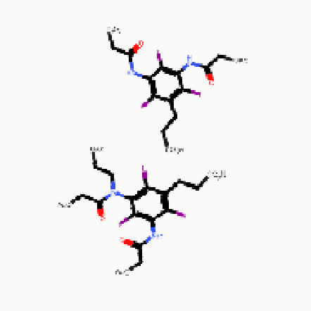 CC(=O)OCC(=O)Nc1c(I)c(CCC(=O)O)c(I)c(NC(=O)COC(C)=O)c1I.CC(=O)OCCN(C(=O)COC(C)=O)c1c(I)c(CCC(=O)O)c(I)c(NC(=O)COC(C)=O)c1I